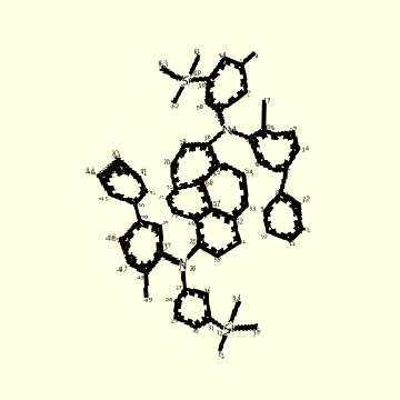 Cc1cc(N(c2cc(-c3ccccc3)ccc2C)c2ccc3ccc4c(N(c5cccc([Si](C)(C)C)c5)c5cc(-c6ccccc6)ccc5C)ccc5ccc2c3c54)cc([Si](C)(C)C)c1